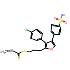 CN(O)C(=S)SCCCc1occ(-c2ccc(S(N)(=O)=O)cc2)c1-c1ccc(Cl)cc1